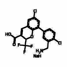 NCc1cc(-c2cc(Cl)cc3c2OC(C(F)(F)F)C(C(=O)O)=C3)ccc1Cl.[NaH]